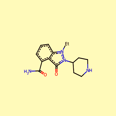 CCn1c2cccc(C(N)=O)c2c(=O)n1C1CCNCC1